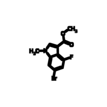 COC(=O)c1cn(C)c2cc(Br)cc(F)c12